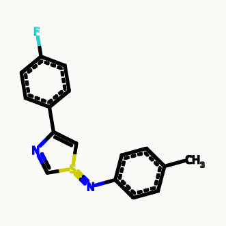 Cc1ccc(N=S2C=NC(c3ccc(F)cc3)=C2)cc1